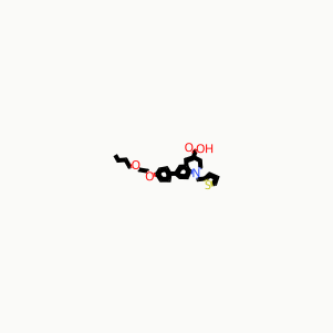 CCCCOCCOc1ccc(-c2ccc3c(c2)C=C(C(=O)O)CCN3Cc2cccs2)cc1